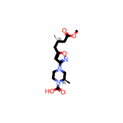 COC(=O)C[C@@H](C)Cc1cc(N2CCN(C(=O)O)[C@H](C)C2)no1